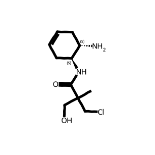 CC(CO)(CCl)C(=O)N[C@H]1CC=CC[C@@H]1N